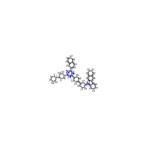 c1ccc(-c2ccc(-c3nc(-c4ccc(-c5cccc(-n6c7ccccc7c7cc8ccccc8cc76)c5)cc4)nc(-c4ccc5ccccc5c4)n3)cc2)cc1